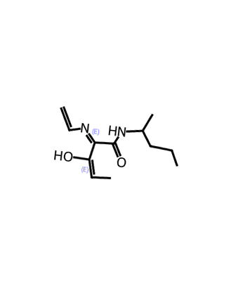 C=C/N=C(C(=O)NC(C)CCC)\C(O)=C/C